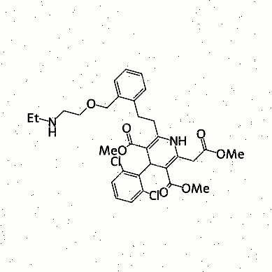 CCNCCOCc1ccccc1CCC1=C(C(=O)OC)C(c2c(Cl)cccc2Cl)C(C(=O)OC)=C(CC(=O)OC)N1